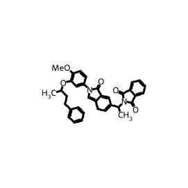 COc1ccc(N2C=C3CC=C(C(C)N4C(=O)c5ccccc5C4=O)C=C3C2=O)cc1OC(C)CCc1ccccc1